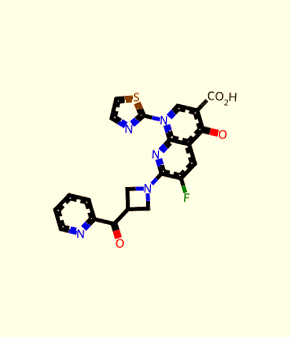 O=C(O)c1cn(-c2nccs2)c2nc(N3CC(C(=O)c4ccccn4)C3)c(F)cc2c1=O